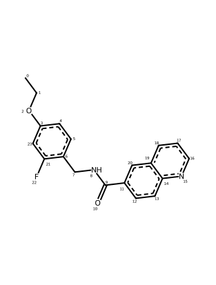 CCOc1ccc(CNC(=O)c2ccc3ncccc3c2)c(F)c1